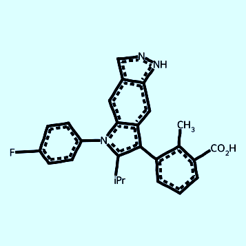 Cc1c(C(=O)O)cccc1-c1c(C(C)C)n(-c2ccc(F)cc2)c2cc3cn[nH]c3cc12